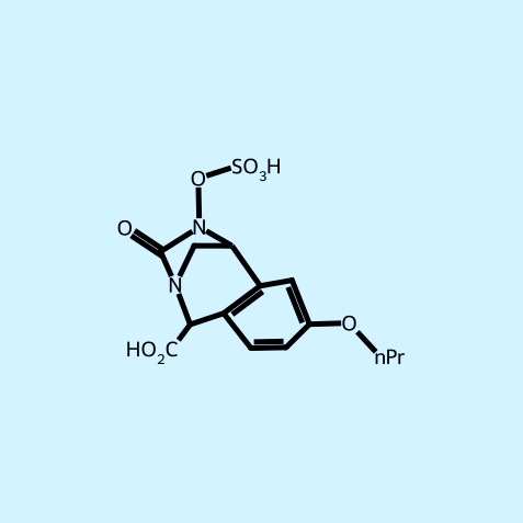 CCCOc1ccc2c(c1)C1CN(C(=O)N1OS(=O)(=O)O)C2C(=O)O